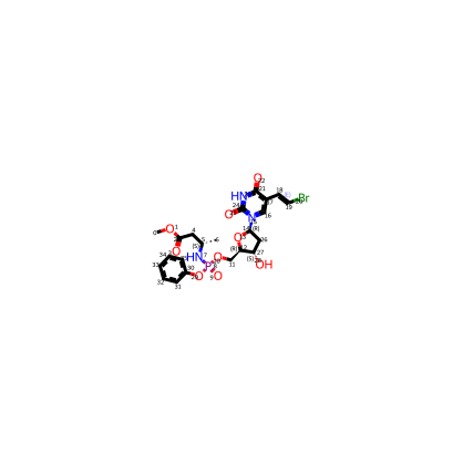 COC(=O)C[C@H](C)NP(=O)(OC[C@H]1O[C@@H](n2cc(/C=C/Br)c(=O)[nH]c2=O)C[C@@H]1O)Oc1ccccc1